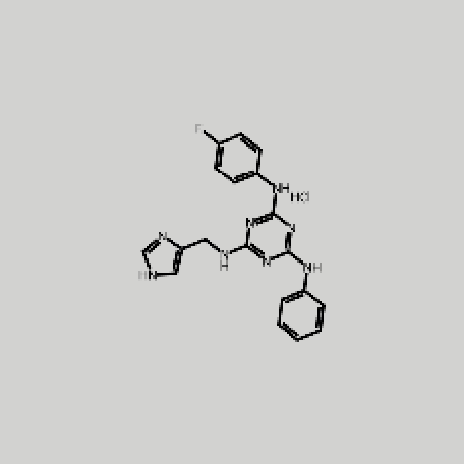 Cl.Fc1ccc(Nc2nc(NCc3c[nH]cn3)nc(Nc3ccccc3)n2)cc1